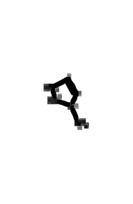 NN1C=CNN1